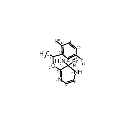 CC(OC1=NC=CNC1(N)Br)c1cc(F)ccc1I